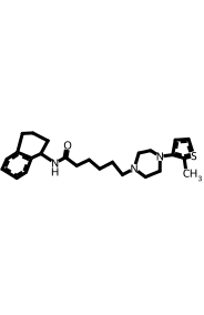 Cc1sccc1N1CCN(CCCCCC(=O)NC2CCCc3ccccc32)CC1